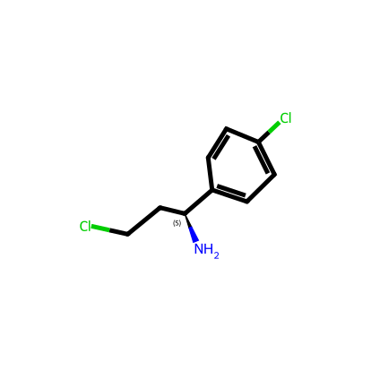 N[C@@H](CCCl)c1ccc(Cl)cc1